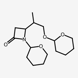 CC(COC1CCCCO1)C1CC(=O)N1C1CCCCO1